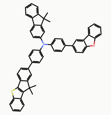 CC1(C)c2ccccc2-c2ccc(N(c3ccc(-c4ccc5c(c4)C(C)(C)c4c-5sc5ccccc45)cc3)c3ccc(-c4ccc5oc6ccccc6c5c4)cc3)cc21